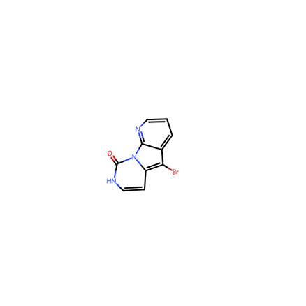 O=c1[nH]ccc2c(Br)c3cccnc3n12